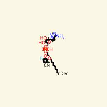 CCCCCCCCCCCCCCCCCCOC[C@H](COP(=O)(O)OC[C@H]1O[C@@](C)(c2ccc3c(N)ncnn23)[C@H](O)[C@@H]1O)Oc1cc(C)c(C#N)cc1F